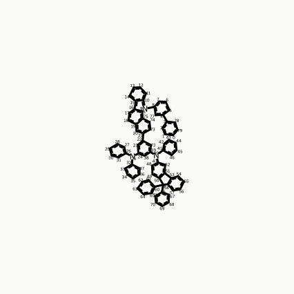 c1ccc(-c2cccc(-n3c4ccccc4c4ccc5cc(-c6cc(N(c7ccccc7)c7ccccc7)cc(N(c7ccccc7)c7ccc8c(c7)-c7ccccc7C8(c7ccccc7)c7ccccc7)c6)ccc5c43)c2)cc1